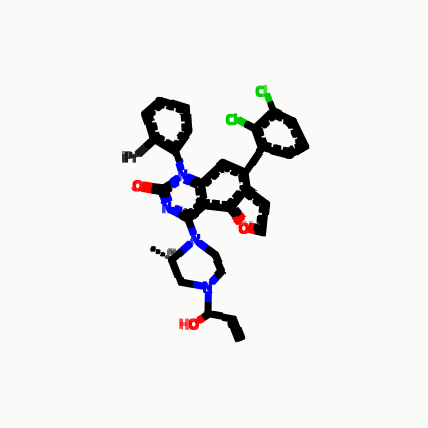 C=CC(O)N1CCN(c2nc(=O)n(-c3ccccc3C(C)C)c3cc(-c4cccc(Cl)c4Cl)c4ccoc4c23)[C@@H](C)C1